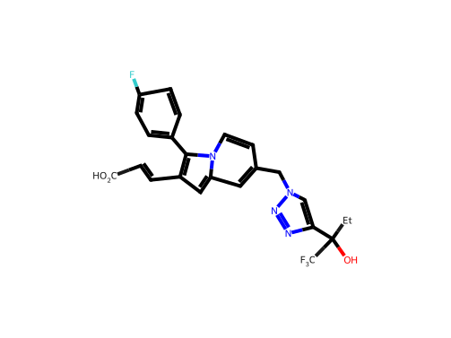 CCC(O)(c1cn(Cc2ccn3c(-c4ccc(F)cc4)c(/C=C/C(=O)O)cc3c2)nn1)C(F)(F)F